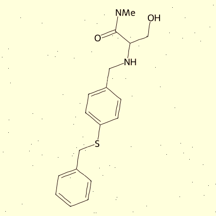 CNC(=O)C(CO)NCc1ccc(SCc2ccccc2)cc1